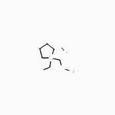 CCCOC[N+]1(CC(C)C)CCCC1.O=N[O-]